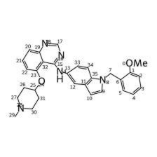 COc1ccccc1Cn1ccc2cc(Nc3ncnc4cccc(OC5CCN(C)CC5)c34)ccc21